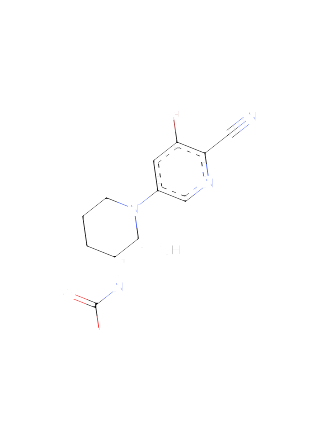 C[C@@H]1[C@H](NC(=O)O)CCCN1c1cnc(C#N)c(Br)c1